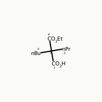 CCCCC(CCC)(C(=O)O)C(=O)OCC